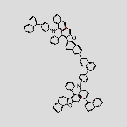 c1ccc(N(c2ccc(-c3cccc4ccccc34)cc2)c2ccc(-c3cccc4cc(-c5ccc6c(ccc7c6oc6cccc(-c8ccccc8N(c8ccc(-c9cccc%10ccccc9%10)cc8)c8cccc9ccccc89)c67)c5)ccc34)cc2)c(-c2cccc3oc4c5ccccc5ccc4c23)c1